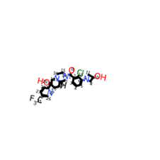 O=C(c1cccc(N2CC(O)C2)c1Cl)N1CCN2C[C@@](O)(c3ccc(C(F)(F)F)cn3)CC[C@@H]2C1